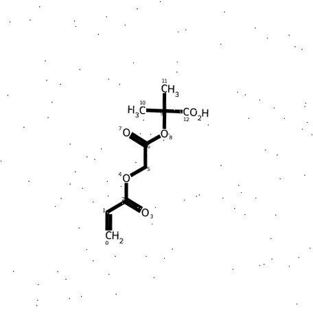 C=CC(=O)OCC(=O)OC(C)(C)C(=O)O